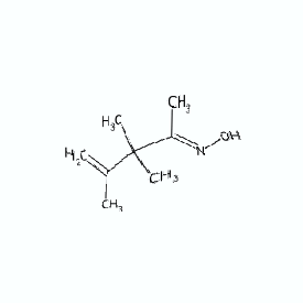 C=C(C)C(C)(C)C(C)=NO